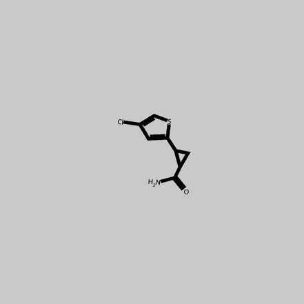 NC(=O)C1CC1c1cc(Cl)cs1